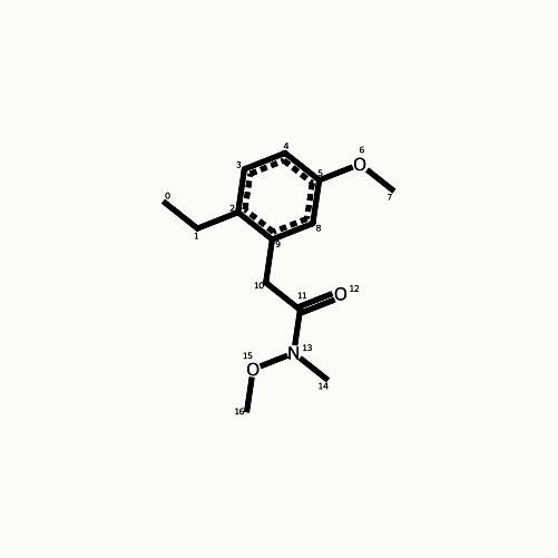 CCc1ccc(OC)cc1CC(=O)N(C)OC